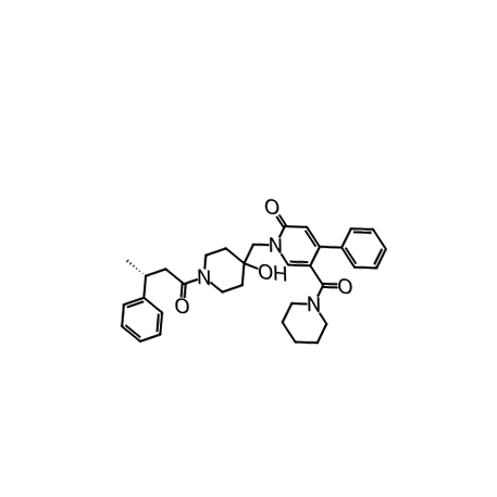 C[C@H](CC(=O)N1CCC(O)(Cn2cc(C(=O)N3CCCCC3)c(-c3ccccc3)cc2=O)CC1)c1ccccc1